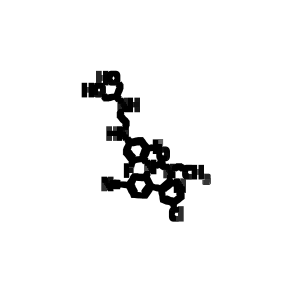 CCN1C(=O)N(c2c(F)cc(NCCNC(CO)CO)cc2F)c2cc(C#N)ccc2-c2cc(Cl)cnc21